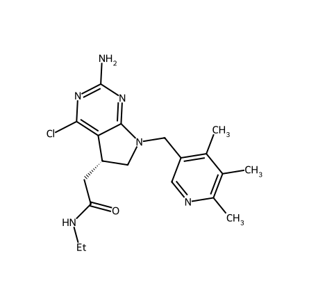 CCNC(=O)C[C@H]1CN(Cc2cnc(C)c(C)c2C)c2nc(N)nc(Cl)c21